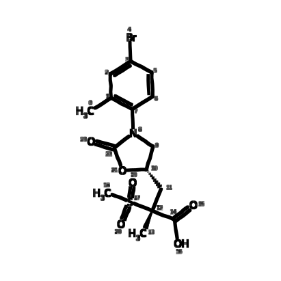 Cc1cc(Br)ccc1N1C[C@H](C[C@](C)(C(=O)O)S(C)(=O)=O)OC1=O